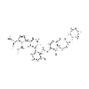 CCOc1c(C(=O)O)cnn1-c1cccc(-c2cccc(C)c2OCc2ccc3c(c2C)CCN(C[C@@H]2COCCO2)CC3)n1